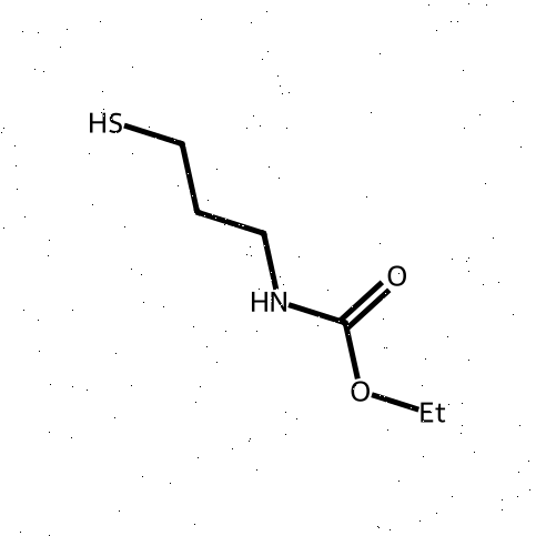 CCOC(=O)NCCCS